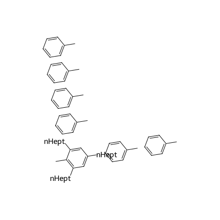 CCCCCCCc1cc(CCCCCCC)c(C)c(CCCCCCC)c1.Cc1ccccc1.Cc1ccccc1.Cc1ccccc1.Cc1ccccc1.Cc1ccccc1.Cc1ccccc1